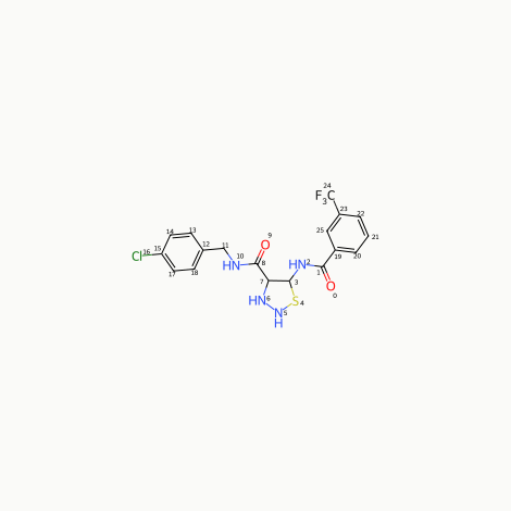 O=C(NC1SNNC1C(=O)NCc1ccc(Cl)cc1)c1cccc(C(F)(F)F)c1